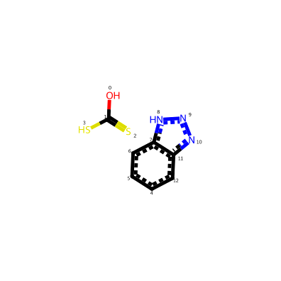 OC(=S)S.c1ccc2[nH]nnc2c1